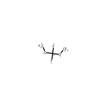 FC(F)(F)OC(F)(F)OC(F)(F)F